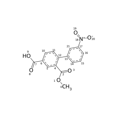 COC(=O)c1cc(C(=O)O)ccc1-c1cccc([N+](=O)[O-])c1